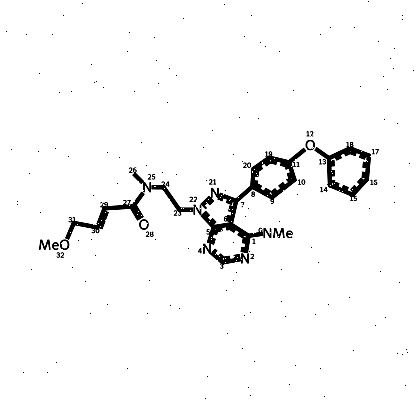 CNc1ncnc2c1c(-c1ccc(Oc3ccccc3)cc1)nn2CCN(C)C(=O)/C=C/COC